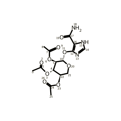 CC(=O)O[C@@H]1[C@@H](OC(C)=O)[C@H](Oc2nc[nH]c2C(N)=O)OC[C@H]1OC(C)=O